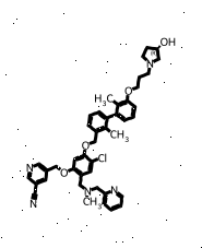 Cc1c(COc2cc(OCc3cncc(C#N)c3)c(CN(C)Cc3ccccn3)cc2Cl)cccc1-c1cccc(OCCCN2CC[C@@H](O)C2)c1C